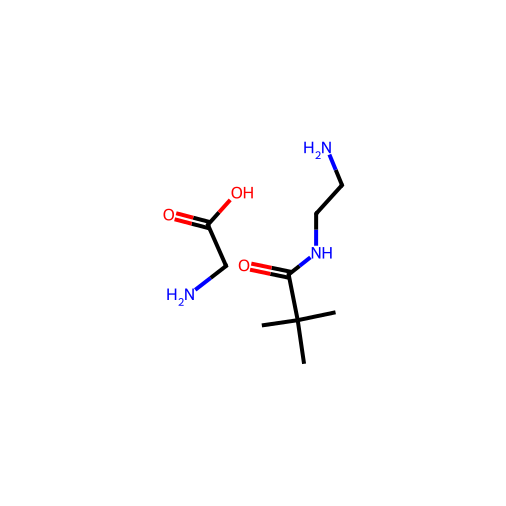 CC(C)(C)C(=O)NCCN.NCC(=O)O